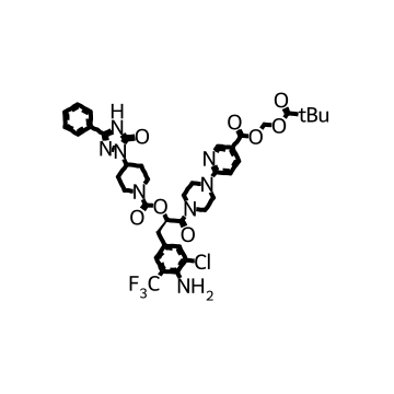 CC(C)(C)C(=O)OCOC(=O)c1ccc(N2CCN(C(=O)[C@@H](Cc3cc(Cl)c(N)c(C(F)(F)F)c3)OC(=O)N3CCC(n4nc(-c5ccccc5)[nH]c4=O)CC3)CC2)nc1